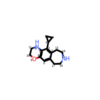 c1c2c(c(C3CC3)c3c1OCCN3)CCNCC2